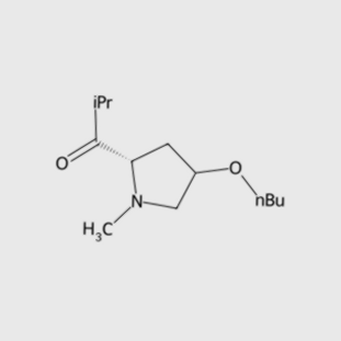 CCCCOC1C[C@@H](C(=O)C(C)C)N(C)C1